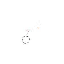 O=C(NOP(=O)(O)F)c1ccccc1